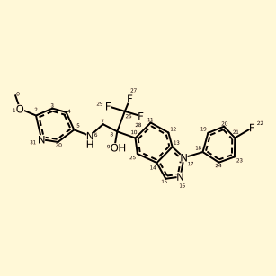 COc1ccc(NCC(O)(c2ccc3c(cnn3-c3ccc(F)cc3)c2)C(F)(F)F)cn1